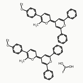 CCOc1ccc(C2=C(C)OC(=C3C=C(c4ccccc4)OC(c4ccccc4)=C3)C=C2)cc1.CCOc1ccc(C2=C(C)OC(=C3C=C(c4ccccc4)OC(c4ccccc4)=C3)C=C2)cc1.OB(O)F